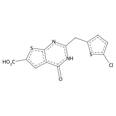 O=C(O)c1cc2c(=O)[nH]c(Cc3ccc(Cl)s3)nc2s1